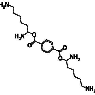 NCCCCCC(N)OC(=O)c1ccc(C(=O)OC(N)CCCCCN)cc1